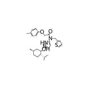 CC(C)[C@@H]1CC[C@@H](C)C[C@H]1O.Cc1ccc(OCC(=O)N(Cc2cccs2)c2ccn[nH]2)cc1